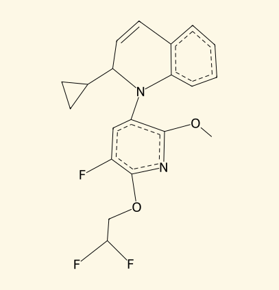 COc1nc(OCC(F)F)c(F)cc1N1c2ccccc2C=CC1C1CC1